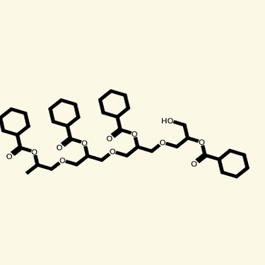 CC(COCC(COCC(COCC(CO)OC(=O)C1CCCCC1)OC(=O)C1CCCCC1)OC(=O)C1CCCCC1)OC(=O)C1CCCCC1